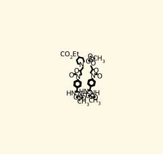 CCOC(=O)C1CCN(CC2CN(c3ccc(C(=N)NS(C)(=O)=O)cc3)C(=O)O2)CC1.CS(=O)(=O)NC(=N)c1ccc(N2CC(COS(C)(=O)=O)OC2=O)cc1